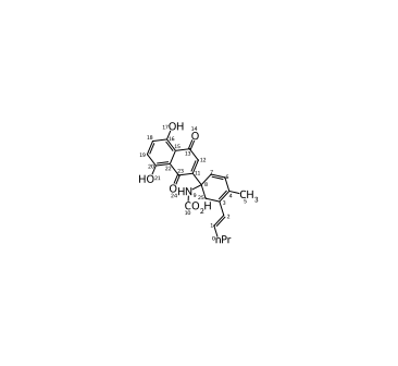 CCCC=CC1=C(C)C=CC(NC(=O)O)(C2=CC(=O)c3c(O)ccc(O)c3C2=O)C1